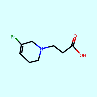 O=C(O)CCN1CCC=C(Br)C1